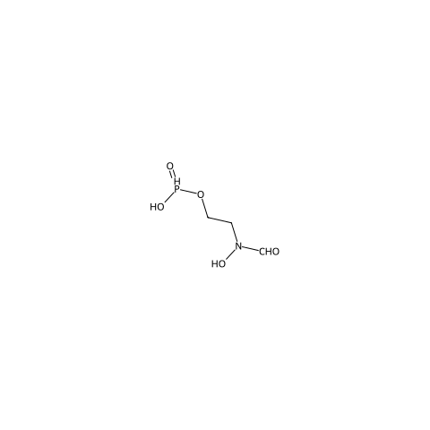 O=CN(O)CCO[PH](=O)O